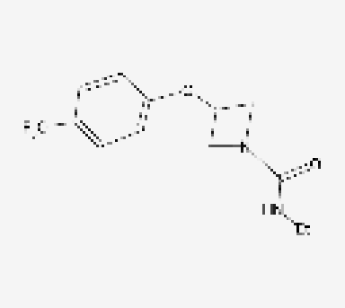 CCNC(=O)N1CC(Oc2ccc(C(F)(F)F)cc2)C1